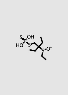 CC[S+]([O-])C(CC)(CC)CSP(O)(O)=S